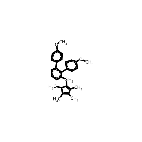 COc1ccc(-c2cccc([SiH2]C3=C(C)C(C)=C(C)C3C)c2-c2ccc(OC)cc2)cc1